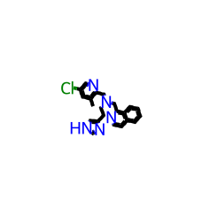 Cc1cc(Cl)cnc1CN(CCc1c[nH]cn1)Cc1nccc2ccccc12